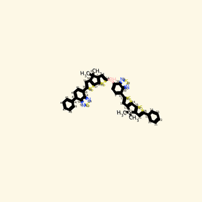 CC1(C)c2cc(Bc3ccc(-c4cc5c(s4)-c4sc(-c6ccccc6)cc4[Si]5(C)C)c4nsnc34)sc2-c2sc(-c3ccc(-c4ccccc4)c4nsnc34)cc21